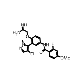 COc1ccc(C(=O)Nc2ccc(OCC(=N)N)c(-c3c(Cl)cnn3C)c2)c(F)c1